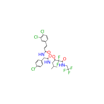 CC(C)[C@H](NC(=O)[C@@H](NC(=O)/C=C/c1ccc(Cl)c(Cl)c1)c1ccc(Cl)cc1)C(=O)C(F)(F)C(=O)NCC(F)(F)F